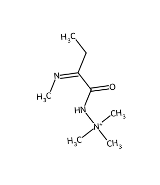 CCC(=NC)C(=O)N[N+](C)(C)C